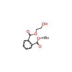 CCCCOC(=O)c1ccccc1C(=O)OCCO